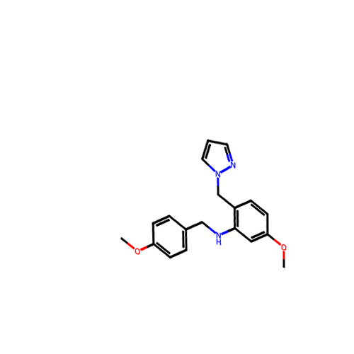 COc1ccc(CNc2cc(OC)ccc2Cn2cccn2)cc1